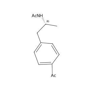 CC(=O)N[C@H](C)Cc1ccc(C(C)=O)cc1